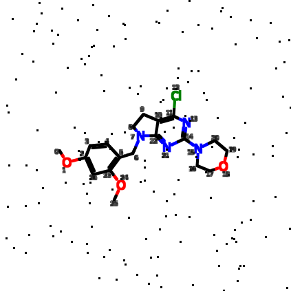 COc1ccc(CN2CCc3c(Cl)nc(N4CCOCC4)nc32)c(OC)c1